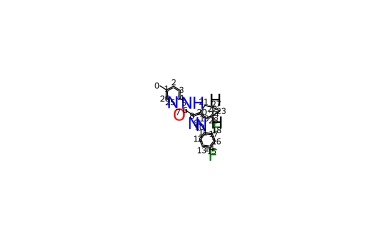 Cc1ccc(NC(=O)c2nn(-c3ccc(F)cc3F)c3c2C[C@@H]2C[C@H]32)nc1